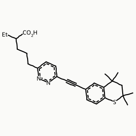 CCC(CCCc1ccc(C#Cc2ccc3c(c2)C(C)(C)CC(C)(C)S3)nn1)C(=O)O